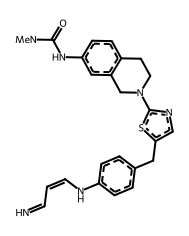 CNC(=O)Nc1ccc2c(c1)CN(c1ncc(Cc3ccc(N/C=C\C=N)cc3)s1)CC2